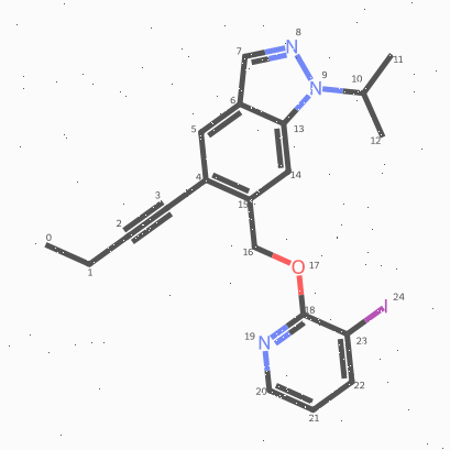 CCC#Cc1cc2cnn(C(C)C)c2cc1COc1ncccc1I